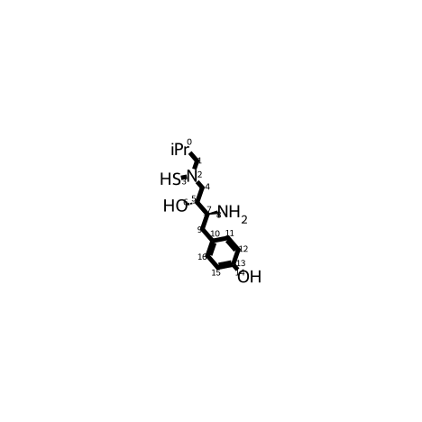 CC(C)CN(S)C[C@@H](O)[C@@H](N)Cc1ccc(O)cc1